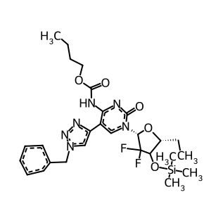 CCCCOC(=O)Nc1nc(=O)n([C@@H]2O[C@H](CC)C(O[Si](C)(C)C)C2(F)F)cc1-c1cn(Cc2ccccc2)nn1